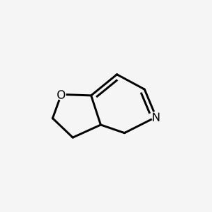 C1=NCC2CCOC2=C1